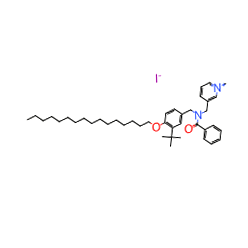 CCCCCCCCCCCCCCCCOc1ccc(CN(Cc2ccc[n+](C)c2)C(=O)c2ccccc2)cc1C(C)(C)C.[I-]